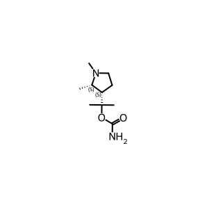 C[C@H]1[C@@H](C(C)(C)OC(N)=O)CCN1C